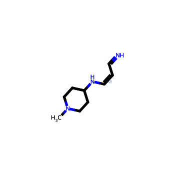 CN1CCC(N/C=C\C=N)CC1